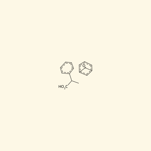 CC(C(=O)O)c1ccccc1.O=C1c2cccc1c2